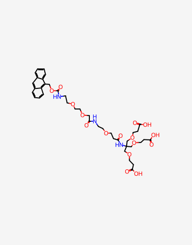 O=C(O)CCOCC(COCCC(=O)O)(COCCC(=O)O)NC(=O)CCOCCNC(=O)COCCOCCNC(=O)OCc1c2ccccc2cc2ccccc12